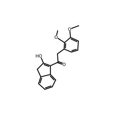 COc1cccc(CC(=O)C2=C(O)Cc3ccccc32)c1OC